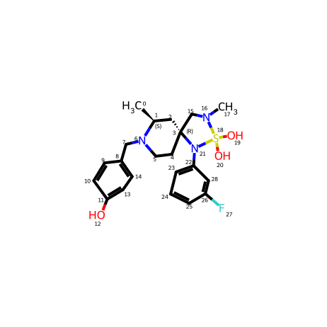 C[C@H]1C[C@]2(CCN1Cc1ccc(O)cc1)CN(C)S(O)(O)N2c1cccc(F)c1